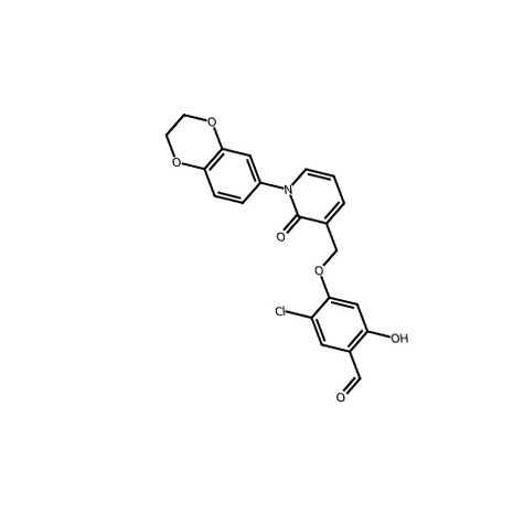 O=Cc1cc(Cl)c(OCc2cccn(-c3ccc4c(c3)OCCO4)c2=O)cc1O